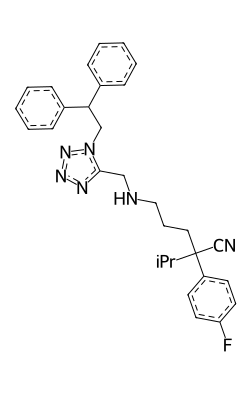 CC(C)C(C#N)(CCCNCc1nnnn1CC(c1ccccc1)c1ccccc1)c1ccc(F)cc1